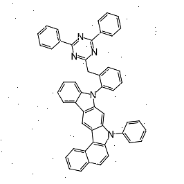 c1ccc(-c2nc(Cc3ccccc3-n3c4ccccc4c4cc5c6c7ccccc7ccc6n(-c6ccccc6)c5cc43)nc(-c3ccccc3)n2)cc1